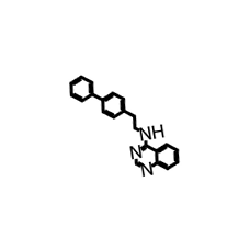 c1ccc(-c2ccc(CCNc3ncnc4ccccc34)cc2)cc1